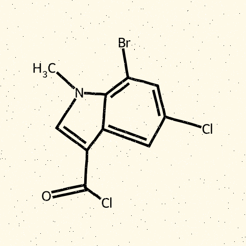 Cn1cc(C(=O)Cl)c2cc(Cl)cc(Br)c21